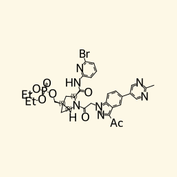 CCOP(=O)(OCC)OC[C@@]12C[C@@H](C(=O)Nc3cccc(Br)n3)N(C(=O)Cn3nc(C(C)=O)c4cc(-c5cnc(C)nc5)ccc43)[C@@H]1C2